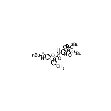 CCCCc1nc2cc([C@H]3CC[C@H](C)CN3C(=O)C(=O)Nc3cnc(N(C(=O)OC(C)(C)C)C(=O)OC(C)(C)C)c(C)c3)ccc2s1